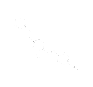 Cc1cc(N)ccc1N=Nc1ccc(N=Nc2ccccc2)cc1S(=O)(=O)O